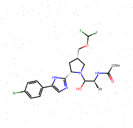 COC(=O)N[C@@H](C(C)C)C(O)N1C[C@@H](COC(F)F)C[C@H]1c1ncc(-c2ccc(Br)cc2)[nH]1